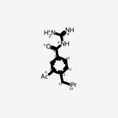 CC(=O)c1cc(C(=O)NC(=N)N)ccc1CC(C)C